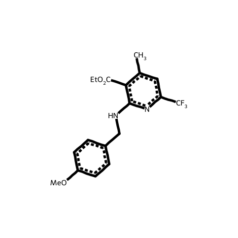 CCOC(=O)c1c(C)cc(C(F)(F)F)nc1NCc1ccc(OC)cc1